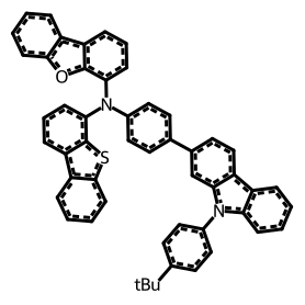 CC(C)(C)c1ccc(-n2c3ccccc3c3ccc(-c4ccc(N(c5cccc6c5oc5ccccc56)c5cccc6c5sc5ccccc56)cc4)cc32)cc1